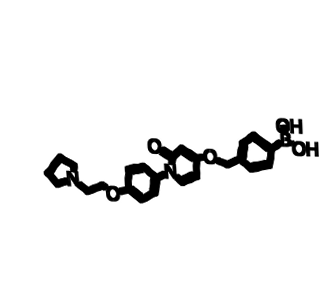 O=c1cc(OCc2ccc(B(O)O)cc2)ccn1-c1ccc(OCCN2CCCC2)cc1